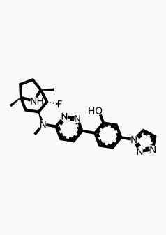 CN(c1ccc(-c2ccc(-n3ccnn3)cc2O)nn1)[C@H]1C[C@]2(C)CC[C@@](C)(N2)[C@@H]1F